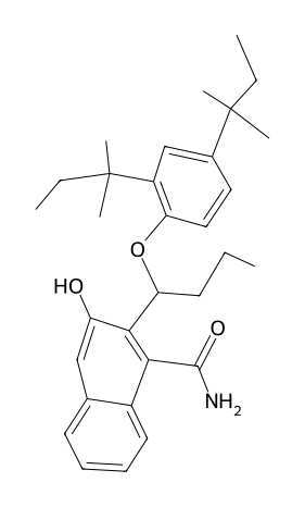 CCCC(Oc1ccc(C(C)(C)CC)cc1C(C)(C)CC)c1c(O)cc2ccccc2c1C(N)=O